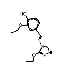 CCOC1=NNCN1N=Cc1ccc(O)c(OCC)c1